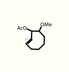 COC1CCCC/C=C/C1OC(C)=O